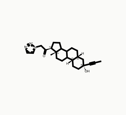 CC#C[C@@]1(O)CC[C@@H]2C3CC[C@@]4(C)C(CC[C@@H]4C(=O)Cn4cc[n+]#[n+]4)C3CC[C@@H]2C1